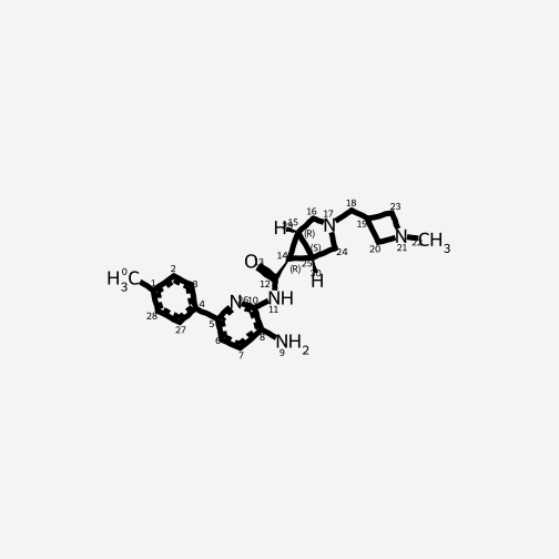 Cc1ccc(-c2ccc(N)c(NC(=O)[C@H]3[C@@H]4CN(CC5CN(C)C5)C[C@@H]43)n2)cc1